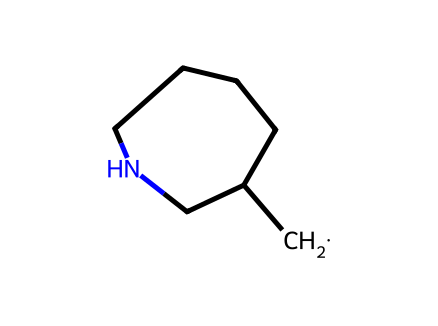 [CH2]C1CCCCNC1